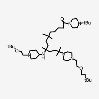 CC(C)(C)CCOCCN1CCN(C(C)(C)CCC(C)(CCC(C)(C)CCCCC(=O)N2CCN(C(C)(C)C)CC2)NC2CCN(CCOC(C)(C)C)CC2)CC1